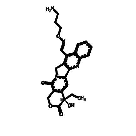 CC[C@@]1(O)C(=O)OCc2c1cc1n(c2=O)Cc2c-1nc1ccccc1c2C=NOCCCN